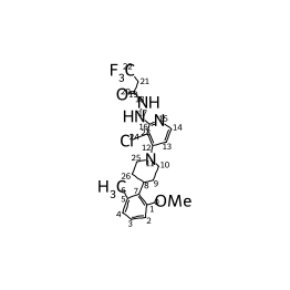 COc1cccc(C)c1C1CCN(c2ccnc(NNC(=O)CC(F)(F)F)c2Cl)CC1